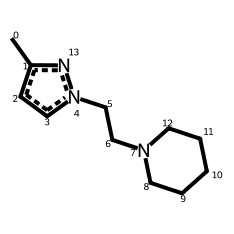 Cc1ccn(CCN2CCCCC2)n1